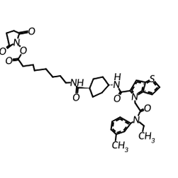 CCN(C(=O)Cn1c(C(=O)N[C@H]2CC[C@H](C(=O)NCCCCCCCC(=O)ON3C(=O)CCC3=O)CC2)cc2sccc21)c1cccc(C)c1